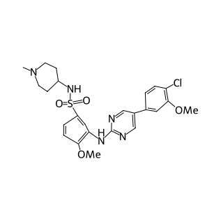 COc1cc(-c2cnc(Nc3cc(S(=O)(=O)NC4CCN(C)CC4)ccc3OC)nc2)ccc1Cl